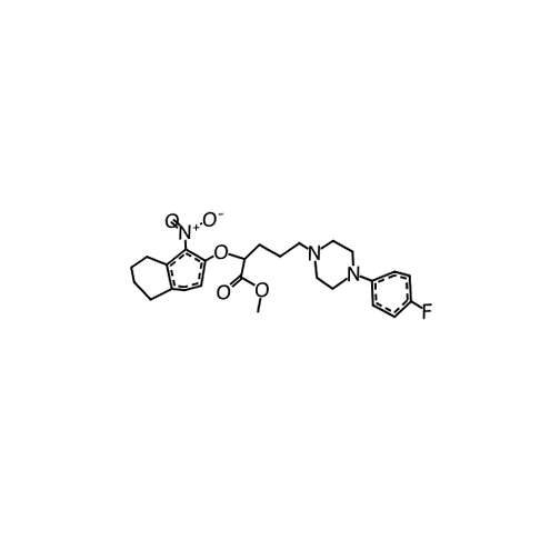 COC(=O)C(CCCN1CCN(c2ccc(F)cc2)CC1)Oc1ccc2c(c1[N+](=O)[O-])CCCC2